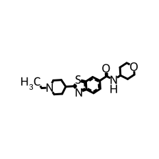 CCN1CCC(c2nc3ccc(C(=O)NC4CCOCC4)cc3s2)CC1